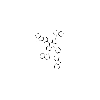 CC1(C)C2=CC(c3cccc(-c4c5ccc(N6CCCc7ccccc76)cc5c(-c5ccc6c(c5)C(C)(C)C5=C6CCC=C5)c5ccc(N6CCCc7ccccc76)cc45)c3)CC=C2C2=C1CCC=C2